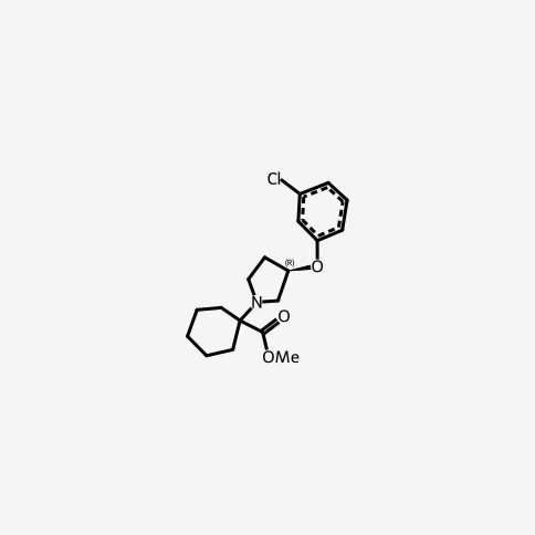 COC(=O)C1(N2CC[C@@H](Oc3cccc(Cl)c3)C2)CCCCC1